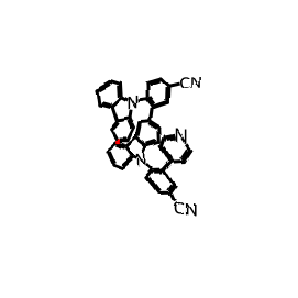 N#Cc1ccc(-n2c3ccccc3c3ccccc32)c(-c2ccc3c(c2)c2ccccc2n3-c2ccc(C#N)cc2-c2ccncc2)c1